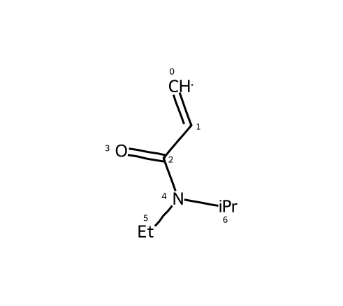 [CH]=CC(=O)N(CC)C(C)C